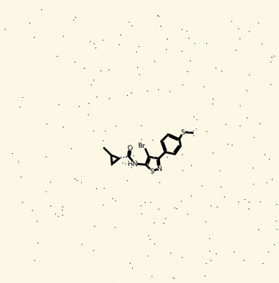 CSc1ccc(-c2nsc(NC(=O)[C@@H]3CC3C)c2Br)cc1